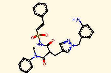 CCN(C(=O)C(Cc1cnn(Cc2cccc(N)c2)c1)C(=O)NS(=O)(=O)/C=C/c1ccccc1)c1ccccc1